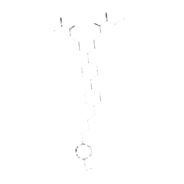 C=C(CO)C(=O)OCCC(CCOC(=O)C(=C)CO)C1CCC(C2CCC(CCCCc3ccc(CCCCC)cc3)CC2)CC1